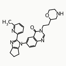 Cc1cccc(-c2nc3c(n2-c2ccc4ncn(CCC5CNCCO5)c(=O)c4c2)CCC3)n1